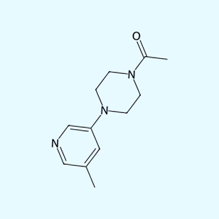 CC(=O)N1CCN(c2cncc(C)c2)CC1